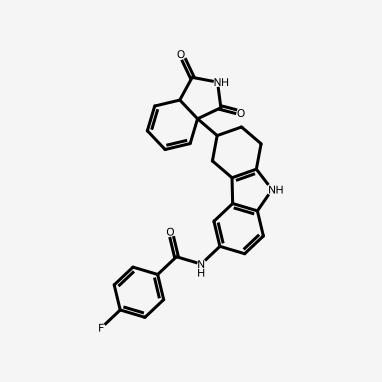 O=C(Nc1ccc2[nH]c3c(c2c1)CC(C12C=CC=CC1C(=O)NC2=O)CC3)c1ccc(F)cc1